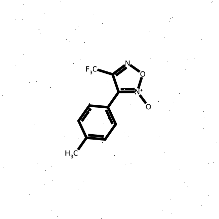 Cc1ccc(-c2c(C(F)(F)F)no[n+]2[O-])cc1